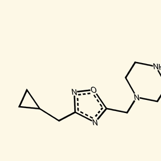 C1CN(Cc2nc(CC3CC3)no2)CCN1